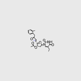 CCc1cn([C@@H]2CC(OC(C)=O)[C@H](/C=C/C(=O)Cc3ccccc3C)O2)c(=O)[nH]c1=O